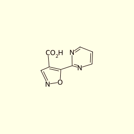 O=C(O)c1cnoc1-c1ncccn1